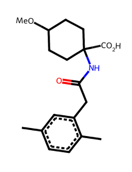 COC1CCC(NC(=O)Cc2cc(C)ccc2C)(C(=O)O)CC1